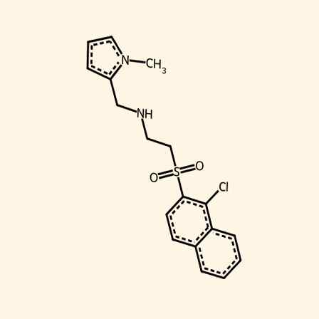 Cn1cccc1CNCCS(=O)(=O)c1ccc2ccccc2c1Cl